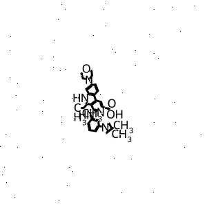 CC(C)C(=N)c1c(-c2ccc(N3CCOCC3)cc2)cc(C(=O)O)nc1Nc1cccc(N2CC(C)(C)C2)c1